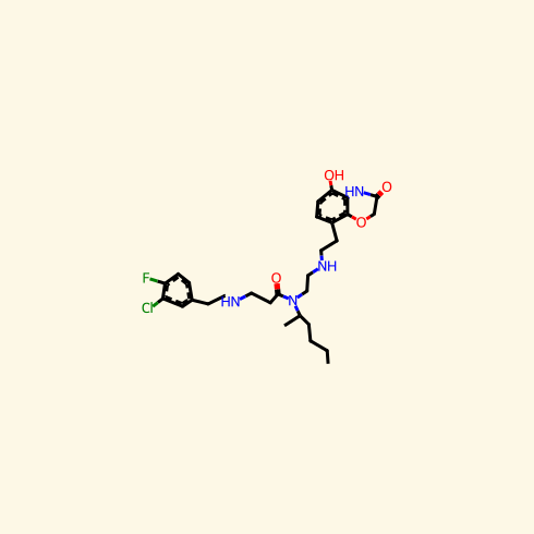 CCCCC(C)N(CCNCCc1ccc(O)c2c1OCC(=O)N2)C(=O)CCNCCc1ccc(F)c(Cl)c1